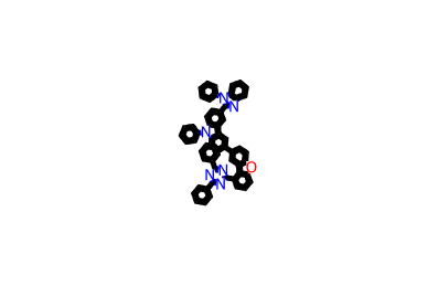 c1ccc(-c2nc(-c3ccccc3)nc(-c3cccc4oc5ccc(-c6ccc7c(c6)c6cc(-c8nc9ccccc9n8-c8ccccc8)ccc6n7-c6ccccc6)cc5c34)n2)cc1